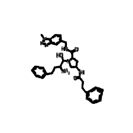 Cn1nnc2cc(CNC(=O)C3CC(NC(=O)CCc4ccccc4)CN3C(O)C(N)CCc3ccccc3)ccc21